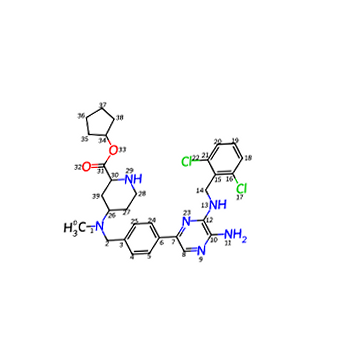 CN(Cc1ccc(-c2cnc(N)c(NCc3c(Cl)cccc3Cl)n2)cc1)C1CCNC(C(=O)OC2CCCC2)C1